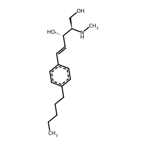 CCCCCc1ccc(/C=C/[C@H](O)[C@@H](CO)NC)cc1